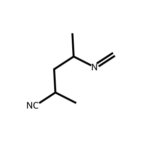 C=NC(C)CC(C)C#N